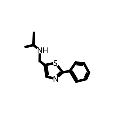 CC(C)NCc1cnc(-c2ccccc2)s1